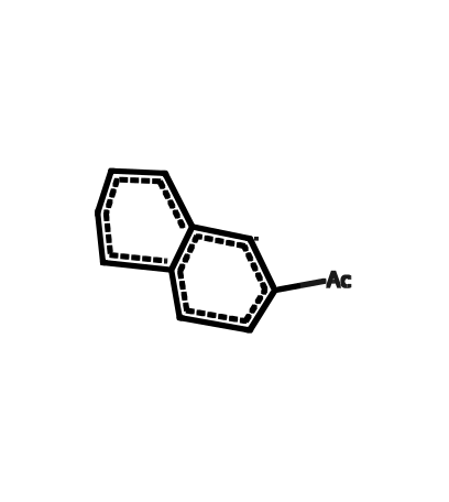 CC(=O)c1[c]c2ccccc2cc1